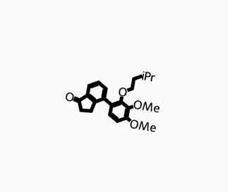 COc1ccc(-c2cccc3c2CCC3=O)c(OCCC(C)C)c1OC